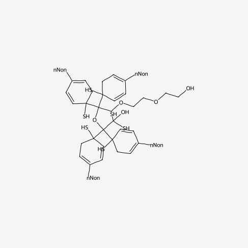 CCCCCCCCCC1=CCC(S)(C(COCCOCCO)(OC(C(O)(S)S)(C2(S)C=CC(CCCCCCCCC)=CC2)C2(S)C=CC(CCCCCCCCC)=CC2)C2(S)C=CC(CCCCCCCCC)=CC2)C=C1